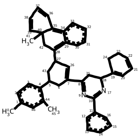 Cc1ccc(C2CC(C3=NC(c4ccccc4)=NC(C4=CC=CCC4)C3)=CC(C3=c4ccccc4=C4C=CC=CC4(C)C3)C2)c(C)c1